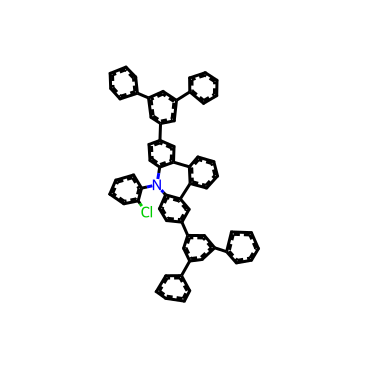 Clc1ccccc1N1c2ccc(-c3cc(-c4ccccc4)cc(-c4ccccc4)c3)cc2-c2ccccc2-c2cc(-c3cc(-c4ccccc4)cc(-c4ccccc4)c3)ccc21